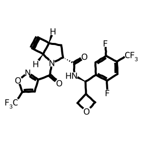 O=C(N[C@@H](c1cc(F)c(C(F)(F)F)cc1F)C1COC1)[C@H]1C[C@H]2C#C[C@H]2N1C(=O)c1cc(C(F)(F)F)on1